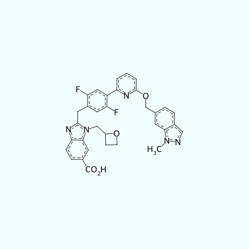 Cn1ncc2ccc(COc3cccc(-c4cc(F)c(Cc5nc6ccc(C(=O)O)cc6n5CC5CCO5)cc4F)n3)cc21